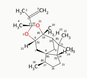 C=C(C)[C@@]1(C)O[C@H]2C[C@@]34C[C@H](C(C)(C)[C@@H]3CC[C@H]4C)[C@@]2(C)O1